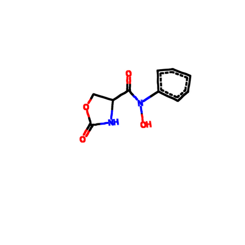 O=C1NC(C(=O)N(O)c2ccccc2)CO1